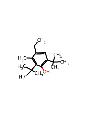 [CH2]Cc1cc(C(C)(C)C)c(O)c(C(C)(C)C)c1C